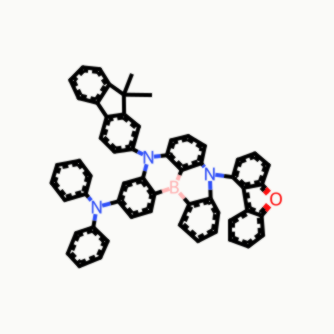 CC1(C)c2ccccc2-c2ccc(N3c4cc(N(c5ccccc5)c5ccccc5)ccc4B4c5ccccc5N(c5cccc6oc7ccccc7c56)c5cccc3c54)cc21